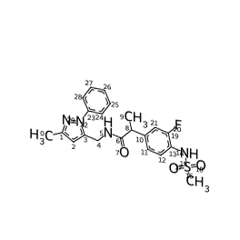 Cc1cc(CNC(=O)C(C)c2ccc(NS(C)(=O)=O)c(F)c2)n(-c2ccccc2)n1